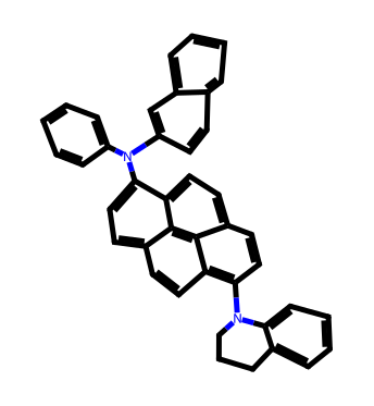 c1ccc(N(c2ccc3ccccc3c2)c2ccc3ccc4c(N5CCCc6ccccc65)ccc5ccc2c3c54)cc1